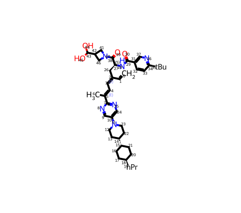 C=C/C(=C\C=C(/C)c1ncc(N2CCC([C@H]3CC[C@H](CCC)CC3)CC2)cn1)C[C@H](NC(=O)c1ccc(C(C)(C)C)nc1)C(=O)N1CC(C(O)O)C1